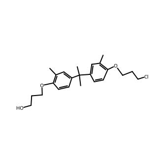 Cc1cc(C(C)(C)c2ccc(OCCCCl)c(C)c2)ccc1OCCCO